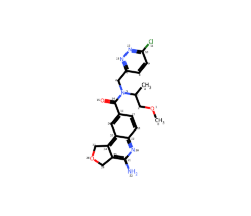 COCC(C)N(Cc1ccc(Cl)nn1)C(=O)c1ccc2nc(N)c3c(c2c1)COC3